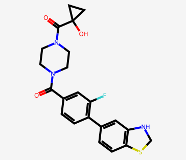 O=C(c1ccc(-c2ccc3c(c2)NCS3)c(F)c1)N1CCN(C(=O)C2(O)CC2)CC1